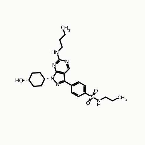 CCCCNc1ncc2c(-c3ccc(S(=O)(=O)NCCC)cc3)nn([C@H]3CC[C@@H](O)CC3)c2n1